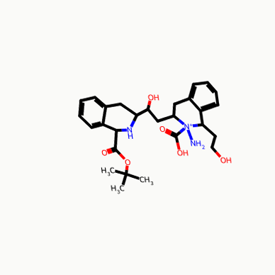 CC(C)(C)OC(=O)C1NC(C(O)CC2Cc3ccccc3C(CCO)[N+]2(N)C(=O)O)Cc2ccccc21